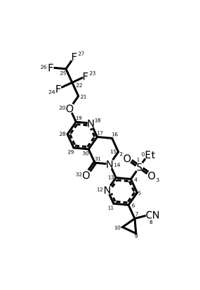 CCS(=O)(=O)c1cc(C2(C#N)CC2)cnc1N1CCc2nc(OCC(F)(F)C(F)F)ccc2C1=O